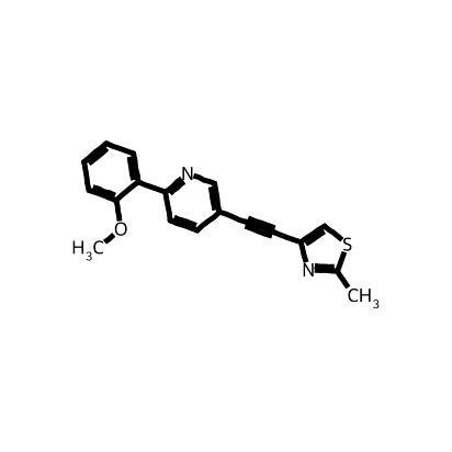 COc1ccccc1-c1ccc(C#Cc2csc(C)n2)cn1